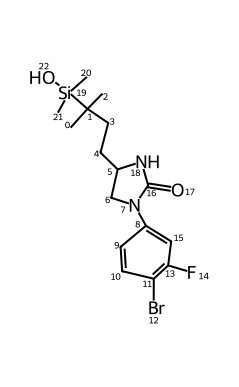 CC(C)(CCC1CN(c2ccc(Br)c(F)c2)C(=O)N1)[Si](C)(C)O